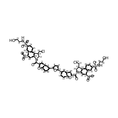 O=C(c1cc2cc(-c3ccc(-c4ccc5oc(C(=O)N6CC(CCl)c7c6cc([N+](=O)[O-])c6cc(S(=O)(=O)NCCO)ccc76)cc5c4)o3)ccc2o1)N1CC(CCl)c2c1cc([N+](=O)[O-])c1cc(S(=O)(=O)NCCO)ccc21